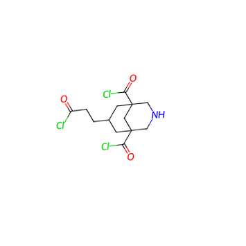 O=C(Cl)CCC1CC2(C(=O)Cl)CNCC(C(=O)Cl)(C1)C2